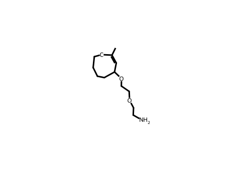 C/C1=C/C(OCCOCCN)CCCCC1